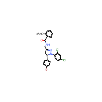 COc1ccccc1C(=O)NCC1=NN(c2ccc(Cl)cc2Cl)C(c2ccc(Br)cc2)C1